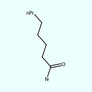 CCCCCCCC([N])=O